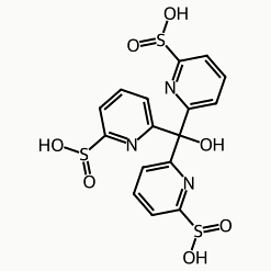 O=S(O)c1cccc(C(O)(c2cccc(S(=O)O)n2)c2cccc(S(=O)O)n2)n1